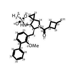 COc1c(C[C@H]2[C@@H](NS(C)(=O)=O)C3(CC3)CN2C(=O)C2CC(F)C2)cccc1-c1ccccc1